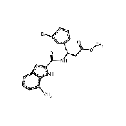 COC(=O)CC(NC(=O)c1cc2cccc(C)c2[nH]1)c1cccc(Br)c1